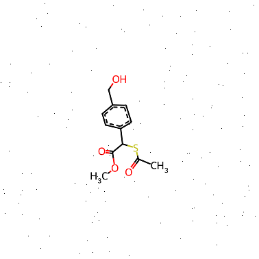 COC(=O)C(SC(C)=O)c1ccc(CO)cc1